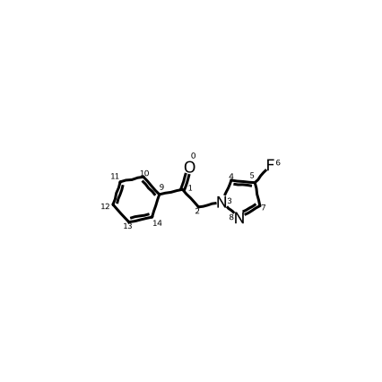 O=C(Cn1cc(F)cn1)c1ccccc1